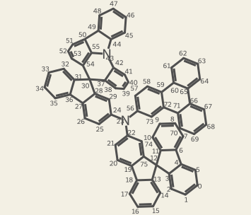 c1ccc2c(c1)-c1ccccc1C21c2ccccc2-c2ccc(N(c3ccc4c(c3)C3(c5ccccc5-4)c4ccccc4-n4c5ccccc5c5cccc3c54)c3ccc4c5ccccc5c5ccccc5c4c3)cc21